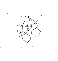 CC(C)C(C)(C)[SiH2]C1(OC2([SiH2]C(C)(C)C(C)C)CCCCC2(C)C)CCCCC1(C)C